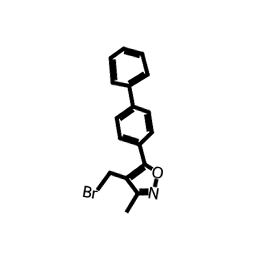 Cc1noc(-c2ccc(-c3ccccc3)cc2)c1CBr